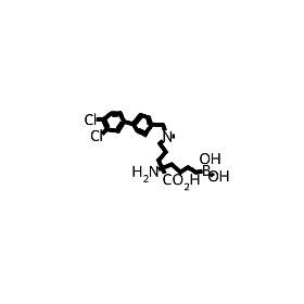 CN(CCCC(N)(CCCCB(O)O)C(=O)O)Cc1ccc(-c2ccc(Cl)c(Cl)c2)cc1